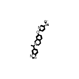 CC(c1ccc2scnc2c1)N1CCc2ccc(Oc3ccc([S+](C)[O-])cn3)cc2C1